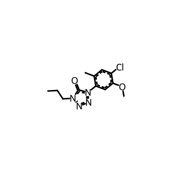 CCCn1nnn(-c2cc(OC)c(Cl)cc2C)c1=O